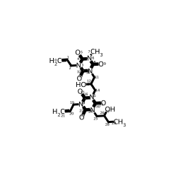 C=CCn1c(=O)n(C)c(=O)n(CC(O)Cn2c(=O)n(CC=C)c(=O)n(CC(O)CC)c2=O)c1=O